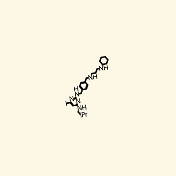 CC(C)CNc1cc(I)nc(NCc2ccc(CNCCCNC3CCCCC3)cc2)n1